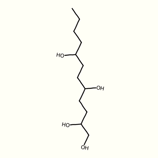 CCCCC(O)CCC(O)CCC(O)CO